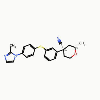 Cc1nccn1-c1ccc(Sc2cccc([C@]3(C#N)CCO[C@@H](C)C3)c2)cc1